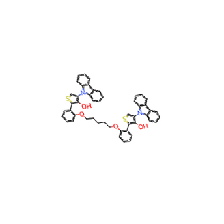 Oc1c(-n2c3ccccc3c3ccccc32)csc1-c1ccccc1OCCCCCOc1ccccc1-c1scc(-n2c3ccccc3c3ccccc32)c1O